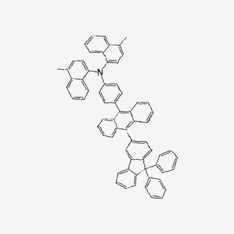 Cc1ccc(N(c2ccc(-c3c4ccccc4c(-c4ccc5c(c4)-c4ccccc4C5(c4ccccc4)c4ccccc4)c4ccccc34)cc2)c2ccc(C)c3ccccc23)c2ccccc12